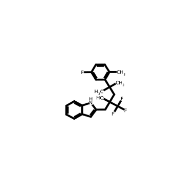 Cc1ccc(F)cc1C(C)(C)CC(O)(Cc1cc2ccccc2[nH]1)C(F)(F)F